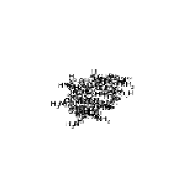 CC[C@H](C)[C@H](NC(=O)[C@@H]1C[C@@H](O)CN1C(=O)[C@@H](N)C(C)C)C(=O)N[C@H](C(=O)N[C@@H](Cc1ccc(O)cc1)C(=O)N[C@@H](CO)C(=O)N[C@@H](CC(N)=O)C(=O)N[C@@H](CCCNC(=N)N)C(=O)N[C@@H](CCN)C(=O)N[C@H](C(=O)N[C@H](CCN)C(=O)N[C@@H](CCCCN)C(=O)N[C@@H](CCN)C(=O)N[C@@H](CCN)C(=O)N[C@@H](CS)C(=O)N[C@@H](Cc1c[nH]c2ccccc12)C(=O)O)[C@@H](C)O)C(C)(C)S